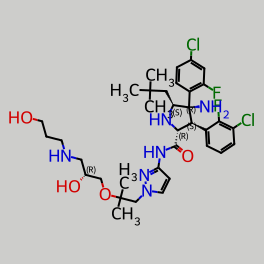 CC(C)(C)C[C@@H]1N[C@@H](C(=O)Nc2ccn(CC(C)(C)OC[C@H](O)CNCCCO)n2)[C@H](c2cccc(Cl)c2F)[C@@]1(N)c1ccc(Cl)cc1F